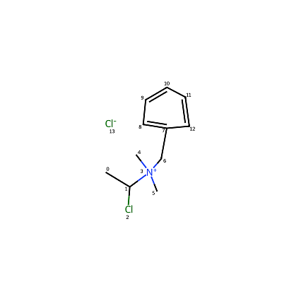 CC(Cl)[N+](C)(C)Cc1ccccc1.[Cl-]